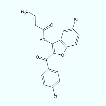 CC=CC(=O)Nc1c(C(=O)c2ccc(Cl)cc2)oc2ccc(Br)cc12